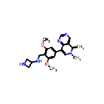 C=C1c2cncnc2C(c2cc(OC)c(CNC3CNC3)c(OC)c2)=CN1C